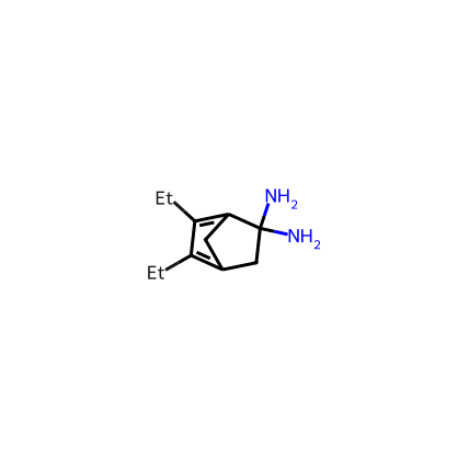 CCC1=C2CC(=C1CC)C(N)(N)C2